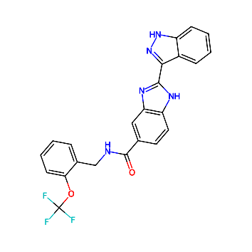 O=C(NCc1ccccc1OC(F)(F)F)c1ccc2[nH]c(-c3n[nH]c4ccccc34)nc2c1